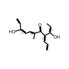 C=C/C=C(C(=O)/C(C)=C/C=C(/O)C=C)\C(O)=C/C